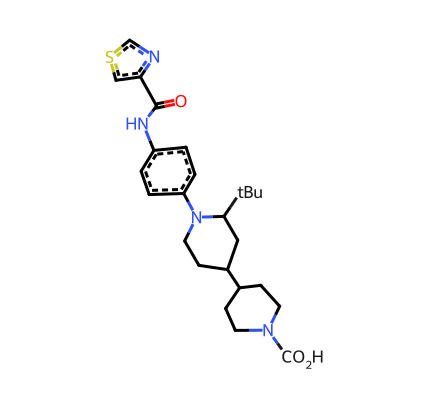 CC(C)(C)C1CC(C2CCN(C(=O)O)CC2)CCN1c1ccc(NC(=O)c2cscn2)cc1